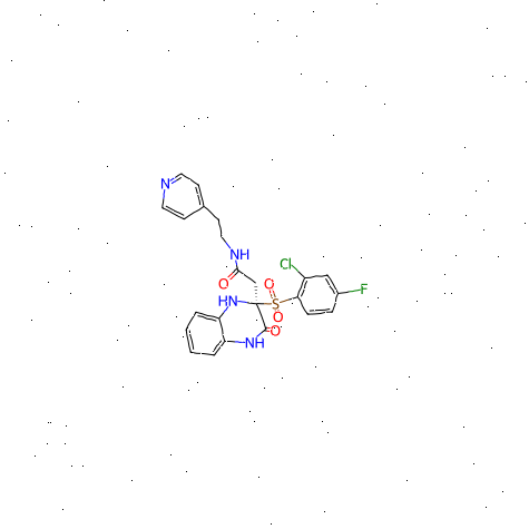 O=C(C[C@@]1(S(=O)(=O)c2ccc(F)cc2Cl)Nc2ccccc2NC1=O)NCCc1ccncc1